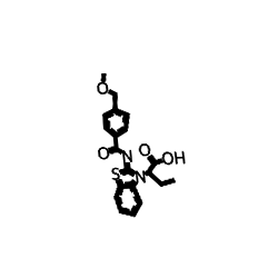 CCC(C(=O)O)n1c(=NC(=O)c2ccc(COC)cc2)sc2ccccc21